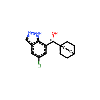 O[C@@H](c1cc(Cl)cc2cn[nH]c12)C12CCC(CC1)CC2